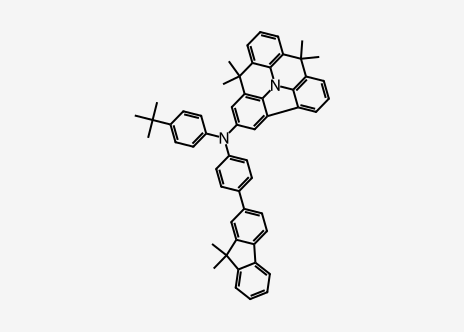 CC(C)(C)c1ccc(N(c2ccc(-c3ccc4c(c3)C(C)(C)c3ccccc3-4)cc2)c2cc3c4c(c2)c2cccc5c2n4-c2c(cccc2C3(C)C)C5(C)C)cc1